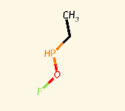 CCPOF